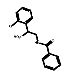 O=C(NCC(C(=O)O)c1ccccc1Cl)c1ccccc1